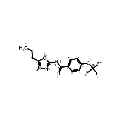 CCCc1nnc(NC(=O)c2ccc(OC(F)(F)F)cc2)o1